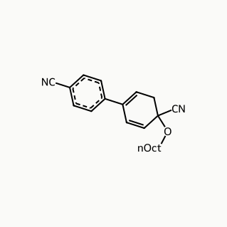 CCCCCCCCOC1(C#N)C=CC(c2ccc(C#N)cc2)=CC1